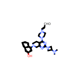 CN(C)C1CN(c2nc3c(c(N4CCN(C=CC=O)CC4)n2)CCN(c2cc(O)cc4ccccc24)C3)C1